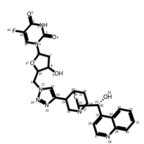 O=c1[nH]c(=O)n(C2CC(O)C(Cn3cc(C4CN5CCC4CC5[C@H](O)c4ccnc5ccccc45)nn3)O2)cc1F